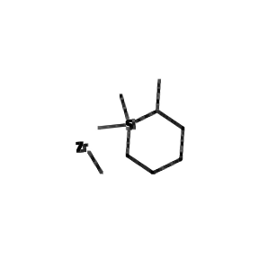 CC1CCCC[Si]1(C)C.[CH3][Zr]